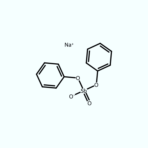 [Na+].[O]=[Sb]([O-])([O]c1ccccc1)[O]c1ccccc1